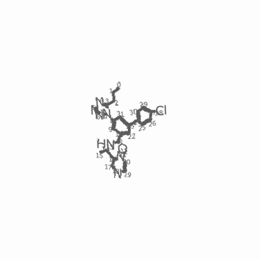 CCCc1nnnn1-c1cc(C(=O)NC(C)c2cnccn2)cc(-c2ccc(Cl)cc2)c1